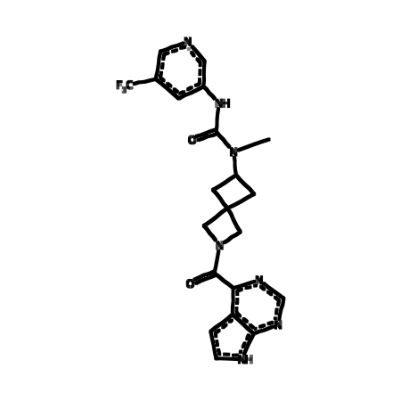 CN(C(=O)Nc1cncc(C(F)(F)F)c1)C1CC2(C1)CN(C(=O)c1ncnc3[nH]ccc13)C2